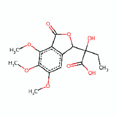 CCC(O)(C(=O)O)C1OC(=O)c2c1cc(OC)c(OC)c2OC